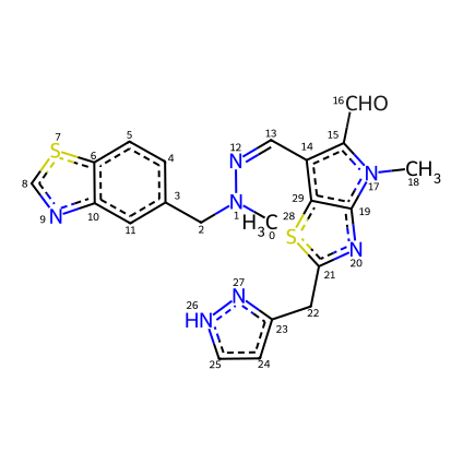 CN(Cc1ccc2scnc2c1)/N=C\c1c(C=O)n(C)c2nc(Cc3cc[nH]n3)sc12